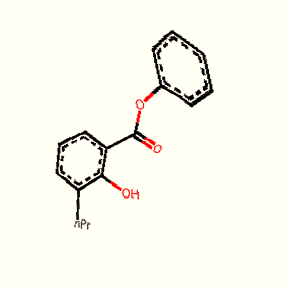 CCCc1cccc(C(=O)Oc2ccccc2)c1O